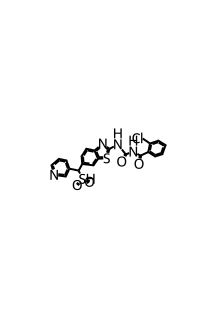 O=C(NC(=O)c1ccccc1Cl)Nc1nc2ccc(C(c3cccnc3)[SH](=O)=O)cc2s1